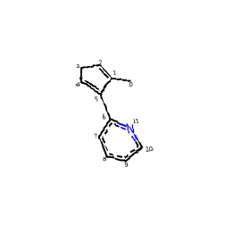 CC1=CCC=C1c1ccccn1